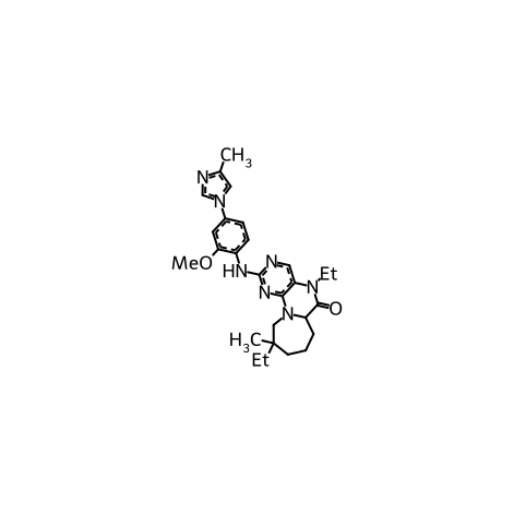 CCN1C(=O)C2CCCC(C)(CC)CN2c2nc(Nc3ccc(-n4cnc(C)c4)cc3OC)ncc21